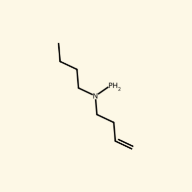 C=CCCN(P)CCCC